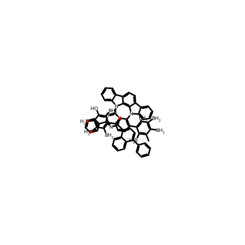 Bc1c(B)c(O)c(B)c(-c2ccc(-c3c(B)c(B)c(B)c(C)c3B)c(-n3c4ccccc4c4ccc5c6ccccc6n(-c6nc(-c7ccccc7)nc(-c7ccc(-c8ccccc8)c8ccccc78)n6)c5c43)c2)c1B